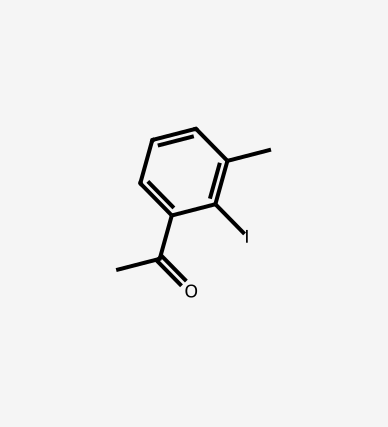 CC(=O)c1cccc(C)c1I